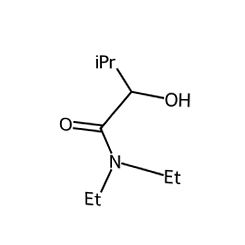 CCN(CC)C(=O)C(O)C(C)C